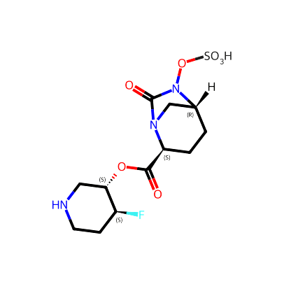 O=C(O[C@H]1CNCC[C@@H]1F)[C@@H]1CC[C@@H]2CN1C(=O)N2OS(=O)(=O)O